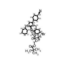 CC(C)(C)C(=O)OCOP(=O)(OCO)C(F)(F)c1ccc(Cn2c(-c3ccc(C#N)cc3)cn(Cc3ccccc3)c2=O)cc1Br